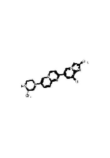 Cc1cn2cc(C3=CCN4C=C(N5CCN[C@@H](C)C5)C=CC4=N3)cc(Cl)c2n1